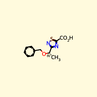 C[C@H](OCc1ccccc1)c1nsc(C(=O)O)n1